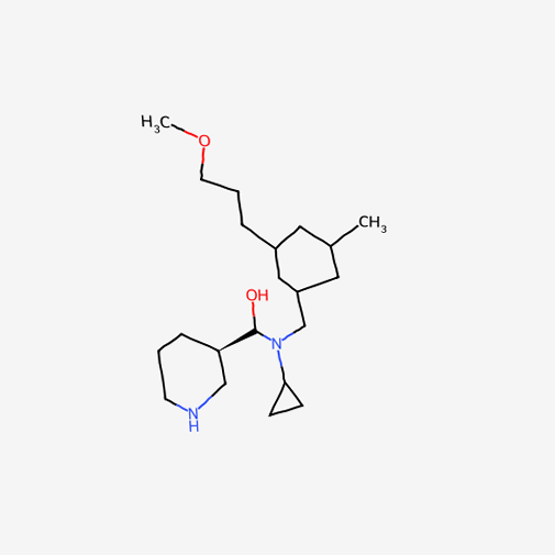 COCCCC1CC(C)CC(CN(C2CC2)C(O)[C@@H]2CCCNC2)C1